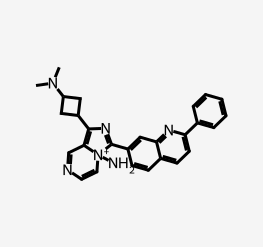 CN(C)C1CC(C2=C3C=NC=C[N+]3(N)C(c3ccc4ccc(-c5ccccc5)nc4c3)=N2)C1